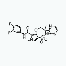 Cn1cc2c(c1C(=O)Nc1ccc(F)c(F)c1)OCC(C)(c1cnccn1)NS2(=O)=O